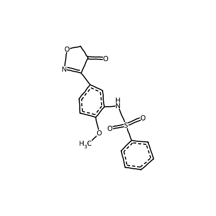 COc1ccc(C2=NOCC2=O)cc1NS(=O)(=O)c1ccccc1